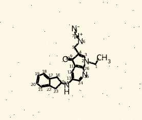 CCn1cc(CN=[N+]=[N-])c(=O)c2cc(NC3Cc4ccccc4C3)cnc21